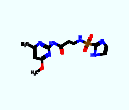 COc1cc(C)nc(NC(=O)CCNS(=O)(=O)c2ncc[nH]2)n1